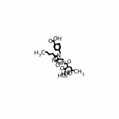 CCCCc1nc(Cl)c(CNC(=O)C(CC(C)C)C(=O)NO)n1Cc1ccc(C(=O)O)cc1